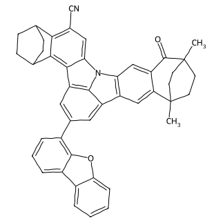 CC12CCC(C)(CC1)c1cc3c4cc(-c5cccc6c5oc5ccccc56)cc5c6c7c(c(C#N)cc6n(c3cc1C2=O)c45)C1CCC7CC1